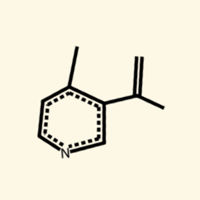 C=C(C)c1cnccc1C